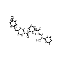 O=C(NCC(O)c1ccccc1)c1cccc(C(=O)N2CCC(Oc3ccc(Cl)cc3)CC2)c1